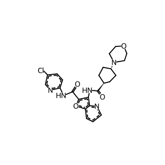 O=C(Nc1ccc(Cl)cn1)c1oc2cccnc2c1NC(=O)[C@H]1CC[C@H](N2CCOCC2)CC1